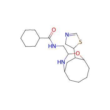 O=C(NCC1NC2CCCCC(O1)C(C1CN=CS1)C2)C1CCCCC1